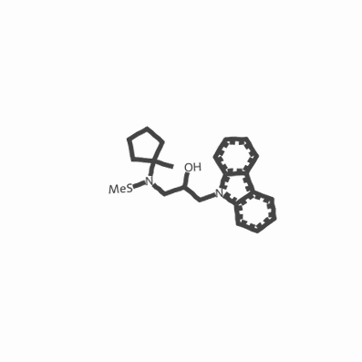 CSN(CC(O)Cn1c2ccccc2c2ccccc21)C1(C)CCCC1